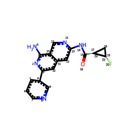 Nc1nc(-c2cccnc2)cc2cc(NC(=O)[C@@H]3C[C@@H]3F)ncc12